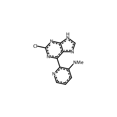 CNc1cccnc1-c1nc(Cl)nc2[nH]cnc12